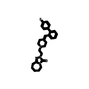 O=c1n(CCN2CCC(=Cc3ccccc3-c3ccc(F)cc3)CC2)nc2n1CCCCC2